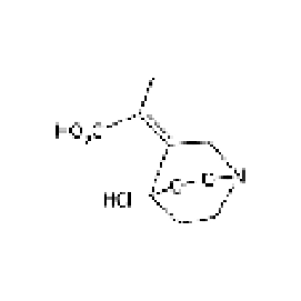 C/C(C(=O)O)=C1\CN2CCC1CC2.Cl